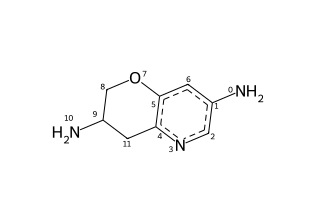 Nc1cnc2c(c1)OCC(N)C2